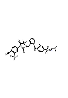 CN(C)/C=N/S(=O)(=O)c1ccc(Nc2ccccc2CN2C(=O)N(c3ccc(C#N)c(C(F)(F)F)c3)C(=O)C2(C)C)c(F)c1